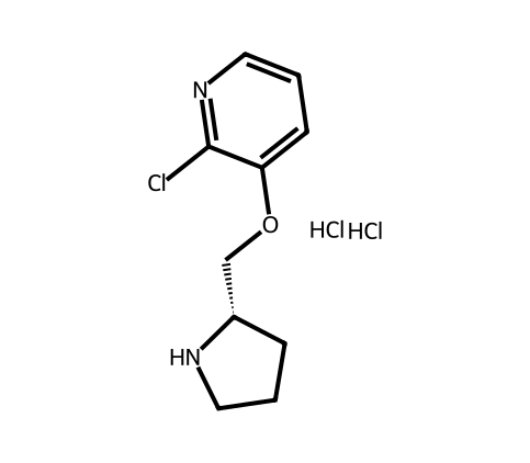 Cl.Cl.Clc1ncccc1OC[C@@H]1CCCN1